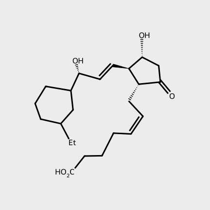 CCC1CCCC([C@H](O)/C=C/[C@H]2[C@H](O)CC(=O)[C@@H]2C/C=C\CCCC(=O)O)C1